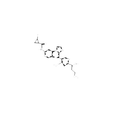 CCC[C@@H](O)c1cc(C)c(-c2cc3cnc(NC(=O)C4CC4F)cc3n3ccnc23)cn1